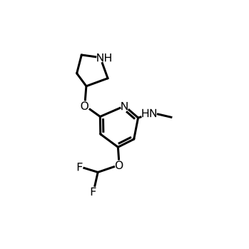 CNc1cc(OC(F)F)cc(OC2CCNC2)n1